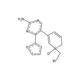 CC(C)C[N+]1([O-])C=C(c2cnc(N)nc2-c2ccco2)C=CC1